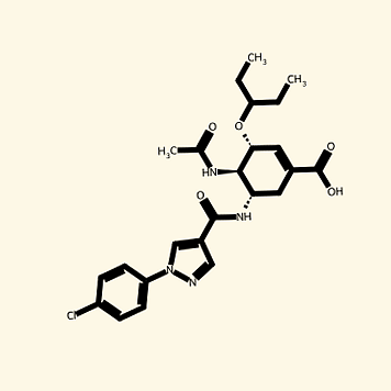 CCC(CC)O[C@@H]1C=C(C(=O)O)C[C@H](NC(=O)c2cnn(-c3ccc(Cl)cc3)c2)[C@H]1NC(C)=O